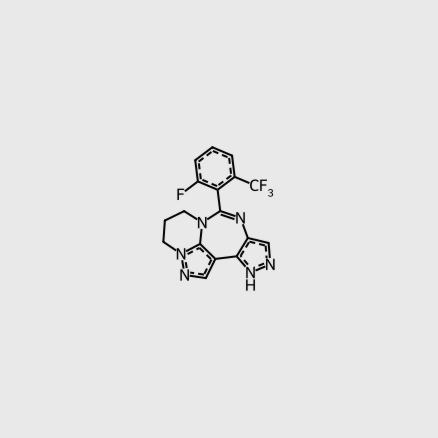 Fc1cccc(C(F)(F)F)c1C1=Nc2cn[nH]c2-c2cnn3c2N1CCC3